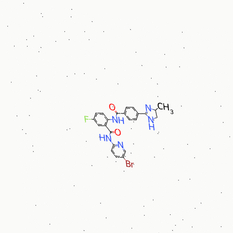 CC1CNC(c2ccc(C(=O)Nc3ccc(F)cc3C(=O)Nc3ccc(Br)cn3)cc2)=N1